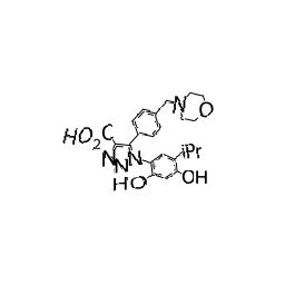 CC(C)c1cc(-n2nnc(C(=O)O)c2-c2ccc(CN3CCOCC3)cc2)c(O)cc1O